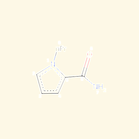 CCCn1cccc1C(N)=O